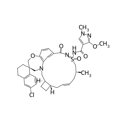 COc1nn(C)cc1C(=O)NS1(=O)=NC(=O)c2ccc3c(c2)N(C[C@@H]2CC[C@H]2C/C=C/C[C@H](C)C1)C[C@@]1(CCCc2cc(Cl)ccc21)CO3